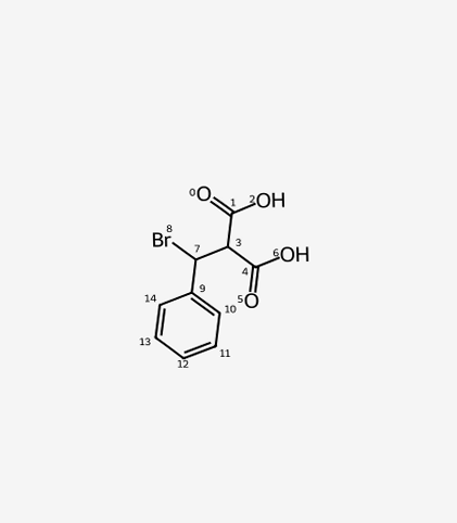 O=C(O)C(C(=O)O)C(Br)c1ccccc1